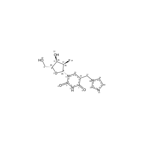 O=c1[nH]c(=O)n([C@@H]2O[C@H](CO)[C@@H](O)[C@H]2F)cc1Cn1ccnc1